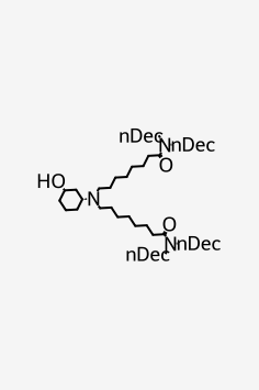 CCCCCCCCCCN(CCCCCCCCCC)C(=O)CCCCCCCN(CCCCCCCC(=O)N(CCCCCCCCCC)CCCCCCCCCC)[C@@H]1CCC[C@@H](O)C1